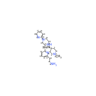 CNC1CCN(C)CC1.NCCc1ccccn1.c1ccc(N2CCNCC2)nc1